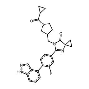 O=C(C1CC1)N1CCC(CN2C(=O)C3(CC3)N=C2c2ccc(-c3cccc4[nH]ncc34)c(F)c2)C1